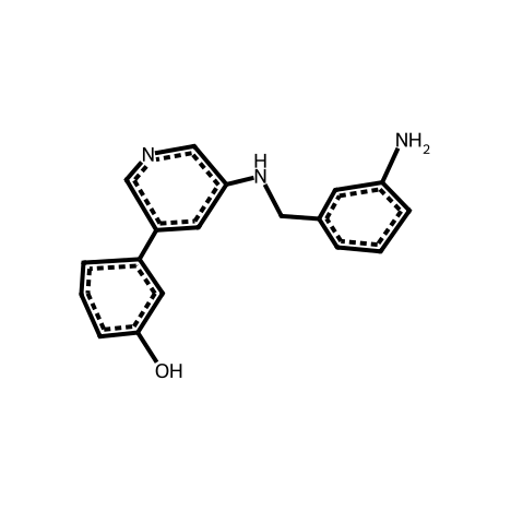 Nc1cccc(CNc2cncc(-c3cccc(O)c3)c2)c1